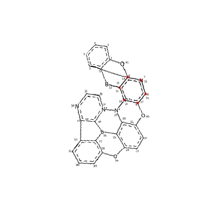 c1cc2c3c(c1)-c1ncc[n+]4c1B3c1c(ccc3c1[N+]41c4c(ccc5c4B4c6c(cccc6-c6ncc[n+]1c64)O5)O3)O2